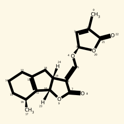 CC1=C[C@H](O/C=C2/C(=O)O[C@@H]3C4=C(CCC[C@@H]4C)C[C@H]23)OC1=O